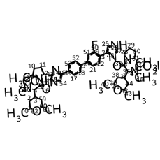 C[C@@H]1CC([C@@H](C(=O)N2[C@@H](C)CC[C@H]2c2nc(-c3ccc(-c4ccc(-c5c[nH]c([C@@H]6CC[C@H](C)N6C(=O)[C@H](C6C[C@@H](C)O[C@H](C)C6)N(C)C(=O)O)n5)c(F)c4)cc3)c[nH]2)N(C)C(=O)O)C[C@@H](C)O1